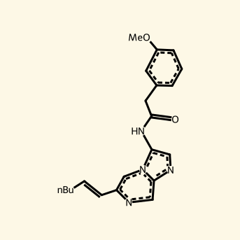 CCCCC=Cc1cn2c(NC(=O)Cc3cccc(OC)c3)cnc2cn1